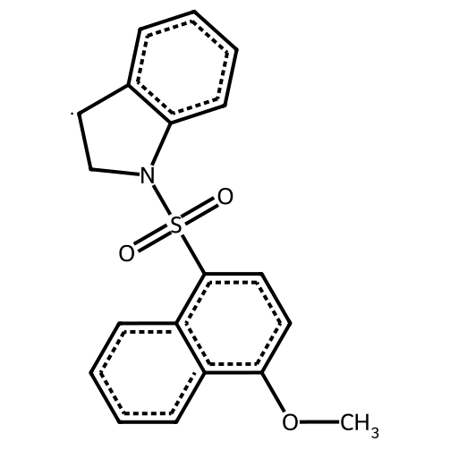 COc1ccc(S(=O)(=O)N2C[CH]c3ccccc32)c2ccccc12